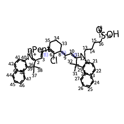 CCCCC[N+]1=C(/C=C/C2=C(Cl)C(=C/C=C3/N(CCCCS(=O)O)c4ccc5ccccc5c4C3(C)C)/CCC2)C(C)(C)c2c1ccc1ccccc21